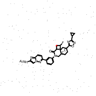 CC(=O)Nc1cn2nc(-c3cccc(N(CC45CCC(c6nc(C7CC7)no6)(CC4)CC5)C(=O)C45CC(F)(C4)C5)c3)ccc2n1